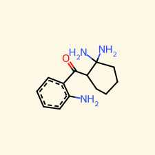 Nc1ccccc1C(=O)C1CCCCC1(N)N